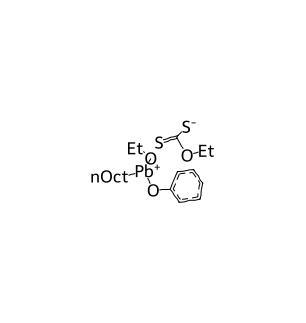 CCCCCCC[CH2][Pb+]([O]CC)[O]c1ccccc1.CCOC(=S)[S-]